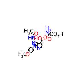 C=CC(=O)NCc1nn(-c2ccc(OC(F)(F)F)cc2)c2nccc([C@H](O)COC(=O)[C@@H](N)C(=O)O)c12